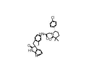 CC1(C)CC[C@@H](c2ccc(Cl)cc2)N(CC(=O)Nc2ccc3c(c2)C[C@@]2(C3)C(=O)Nc3ncccc32)C1=O